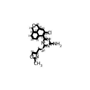 Cc1nc(CSc2nc(N)nc(-c3c(Cl)cc4c5c(cccc35)COC4)n2)co1